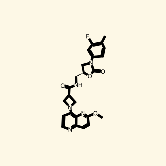 COc1ccc2nccc(N3CC(C(=O)NC[C@@H]4CN(c5ccc(C)c(F)c5)C(=O)O4)C3)c2n1